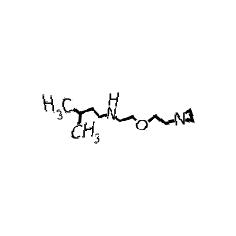 CC(C)CCNCCOCCN1CC1